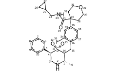 C[C@@H]1NC[C@@H](c2ccccc2)S(=O)(=O)C1Cc1ccc(C2(C(=O)NCC3CC3)CCOCC2)cc1F